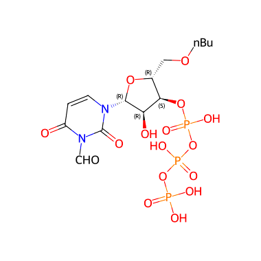 CCCCOC[C@H]1O[C@@H](n2ccc(=O)n(C=O)c2=O)[C@H](O)[C@@H]1OP(=O)(O)OP(=O)(O)OP(=O)(O)O